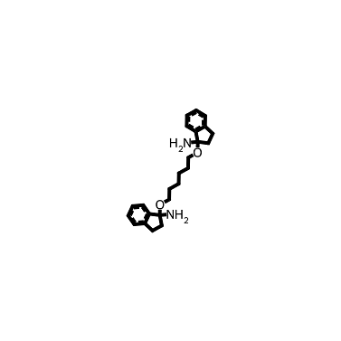 NC1(OCCCCCCOC2(N)CCc3ccccc32)CCc2ccccc21